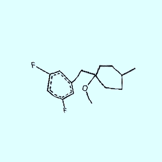 COC1(Cc2cc(F)cc(F)c2)CCC(C)CC1